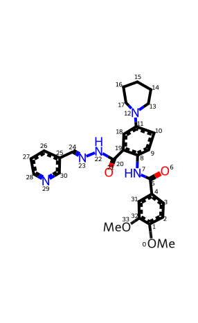 COc1ccc(C(=O)Nc2ccc(N3CCCCC3)cc2C(=O)NN=Cc2cccnc2)cc1OC